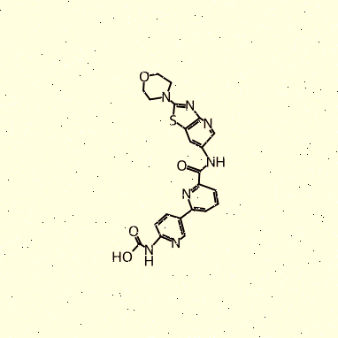 O=C(O)Nc1ccc(-c2cccc(C(=O)Nc3cnc4nc(N5CCOCC5)sc4c3)n2)cn1